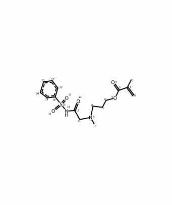 C=C(C)C(=O)OCCCN(C)CC(=O)NS(=O)(=O)c1ccccc1